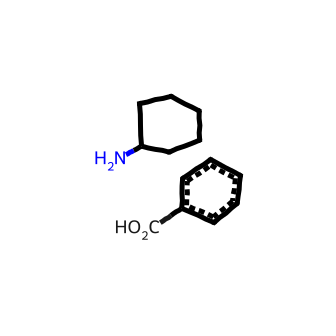 NC1CCCCC1.O=C(O)c1ccccc1